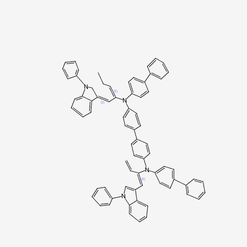 C=C/C(=C\c1cn(-c2ccccc2)c2ccccc12)N(c1ccc(-c2ccccc2)cc1)c1ccc(-c2ccc(N(C(/C=C3\CN(c4ccccc4)c4ccccc43)=C/CC)c3ccc(-c4ccccc4)cc3)cc2)cc1